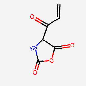 C=CC(=O)C1NC(=O)OC1=O